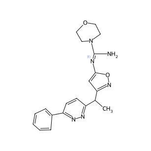 CC(c1ccc(-c2ccccc2)nn1)c1cc(/N=C(\N)N2CCOCC2)on1